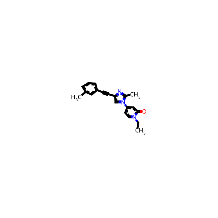 CCn1ccc(-n2cc(C#Cc3cccc(C)c3)nc2C)cc1=O